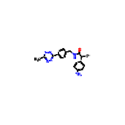 CCCC(C(=O)NCc1ccc(-c2nnc(C)nn2)cc1)c1ccc(N)cc1